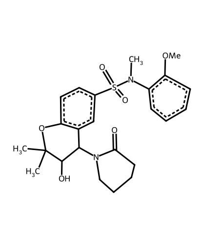 COc1ccccc1N(C)S(=O)(=O)c1ccc2c(c1)C(N1CCCCC1=O)C(O)C(C)(C)O2